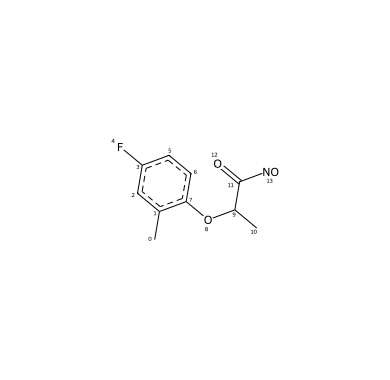 Cc1cc(F)ccc1OC(C)C(=O)N=O